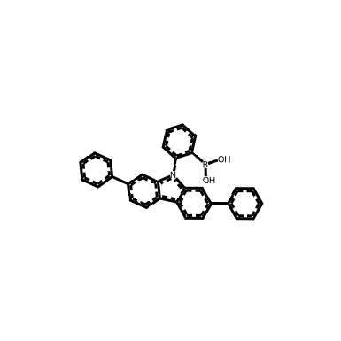 OB(O)c1ccccc1-n1c2cc(-c3ccccc3)ccc2c2ccc(-c3ccccc3)cc21